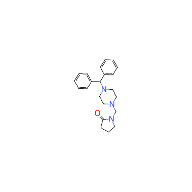 O=C1CCCN1CN1CCN(C(c2ccccc2)c2ccccc2)CC1